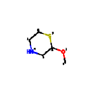 CO[C]1CNCCS1